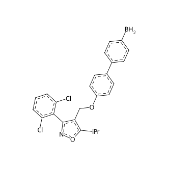 Bc1ccc(-c2ccc(OCc3c(-c4c(Cl)cccc4Cl)noc3C(C)C)cc2)cc1